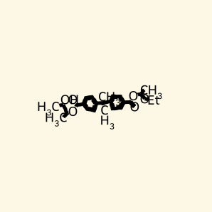 CCOC(C)OC(=O)c1ccc(C(C)(C)c2ccc(C(=O)OC(C)C(C)O)cc2)cc1